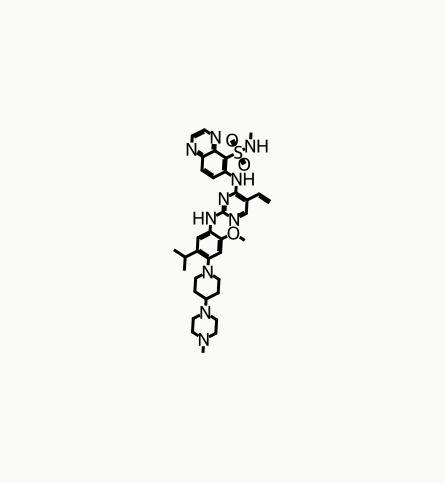 C=Cc1cnc(Nc2cc(C(C)C)c(N3CCC(N4CCN(C)CC4)CC3)cc2OC)nc1Nc1ccc2nccnc2c1S(=O)(=O)NC